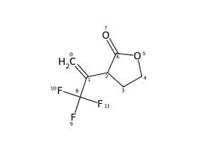 C=C(C1CCOC1=O)C(F)(F)F